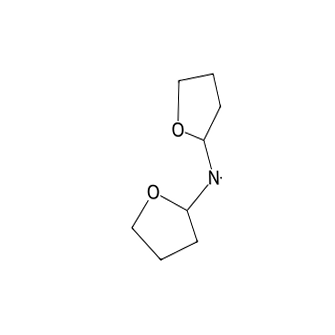 C1COC([N]C2CCCO2)C1